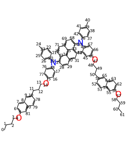 CCCCOc1ccc2cc(CCCOc3ccc(N(c4ccc(C)cc4)c4ccc5ccc6c(N(c7ccc(C)cc7)c7ccc(OCCCc8ccc9cc(OCCCC)ccc9c8)cc7)ccc7ccc4c5c76)cc3)ccc2c1